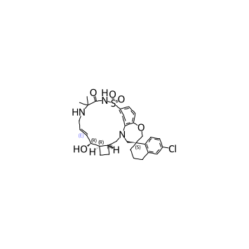 CC1(C)NC/C=C/[C@H](O)[C@@H]2CC[C@H]2CN2C[C@@]3(CCCc4cc(Cl)ccc43)COc3ccc(cc32)S(=O)(=O)NC1=O